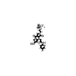 CC(C)(C)c1cc2n(CC(=O)Nc3ccc(F)cn3)c3c(c(=O)n2n1)CN(CCOS(=O)(=O)C(F)(F)F)C3=O